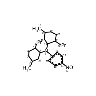 CC1CCC(C(C)C)C(N(c2ccc(N=O)cc2)C2CC(C)CCC2C(C)C)C1